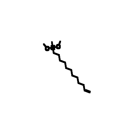 C=CCCCCCCCCCC[Si](C)(OC)OC